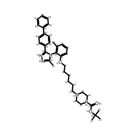 Cc1cccc(OCCCCCCN2CCN(C(=O)OC(C)(C)C)CC2)c1-n1c(C)nnc1-c1ccc(-c2ccccc2)cc1